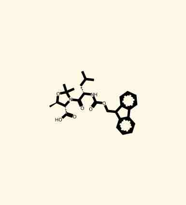 CC(C)C[C@H](NC(=O)OCC1c2ccccc2-c2ccccc21)C(=O)N1[C@H](C(=O)O)[C@@H](C)OC1(C)C